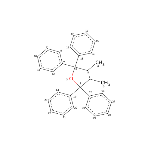 CCC(OC(CC)(c1ccccc1)c1ccccc1)(c1ccccc1)c1ccccc1